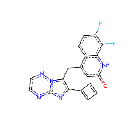 O=c1cc(Cc2c(C3=CC=C3)nc3nccnn23)c2ccc(F)c(F)c2[nH]1